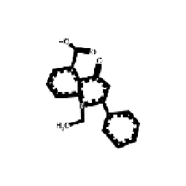 CCn1c(-c2ccccc2)cc(=O)c2c(C(=O)O)cccc21